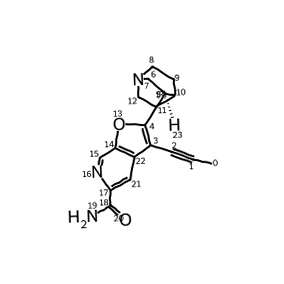 CC#Cc1c([C@H]2CN3CCC2CC3)oc2cnc(C(N)=O)cc12